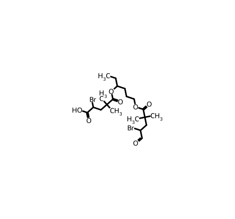 CCC(CCCOC(=O)C(C)(C)CC(Br)C=O)OC(=O)C(C)(C)CC(Br)C(=O)O